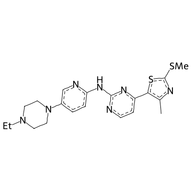 CCN1CCN(c2ccc(Nc3nccc(-c4sc(SC)nc4C)n3)nc2)CC1